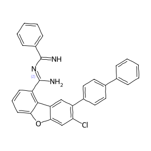 N=C(/N=C(\N)c1cccc2oc3cc(Cl)c(-c4ccc(-c5ccccc5)cc4)cc3c12)c1ccccc1